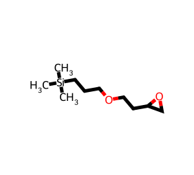 C[Si](C)(C)CCCOCCC1CO1